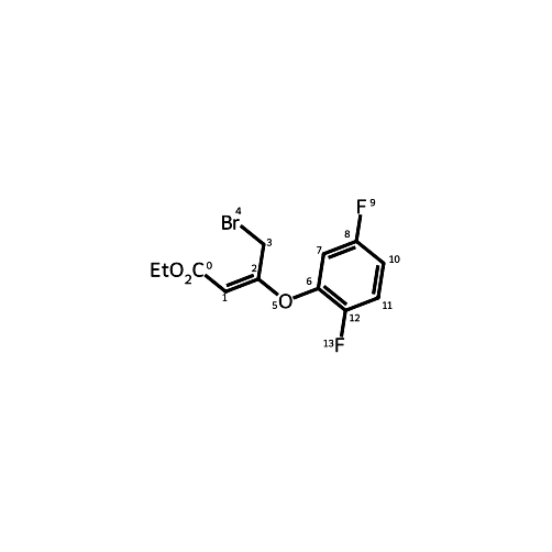 CCOC(=O)C=C(CBr)Oc1cc(F)ccc1F